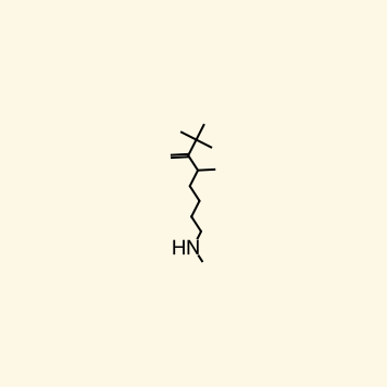 C=C(C(C)CCCCNC)C(C)(C)C